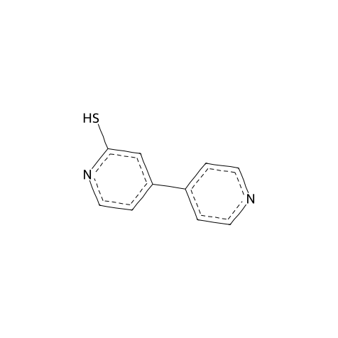 Sc1cc(-c2ccncc2)ccn1